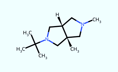 CN1C[C@H]2CN(C(C)(C)C)C[C@@]2(C)C1